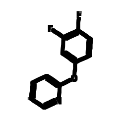 Fc1ccc(Oc2cc[c]cn2)cc1F